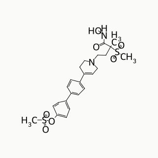 CC(CCN1CC=C(c2ccc(-c3ccc(OS(C)(=O)=O)cc3)cc2)CC1)(C(=O)NO)S(C)(=O)=O